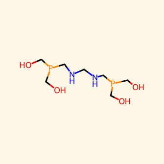 OCP(CO)CNCNCP(CO)CO